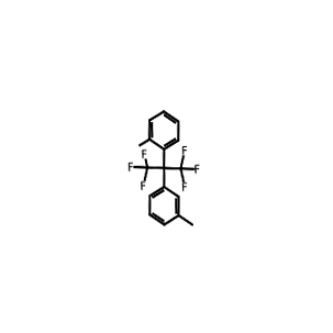 Cc1cccc(C(c2ccccc2C)(C(F)(F)F)C(F)(F)F)c1